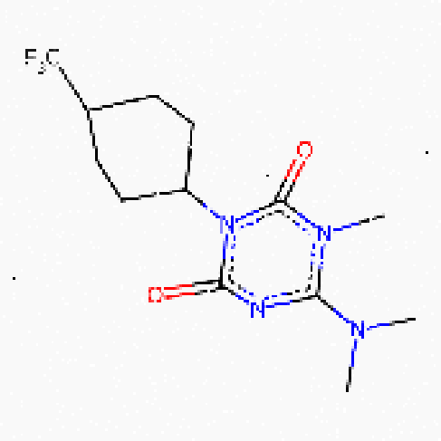 CN(C)c1nc(=O)n(C2CCC(C(F)(F)F)CC2)c(=O)n1C